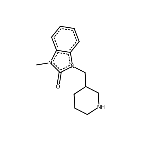 Cn1c(=O)n(CC2CCCNC2)c2ccccc21